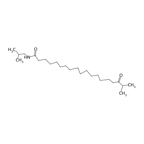 CC(C)CNC(=O)CCCCCCCCCCCCCCCC(=O)C(C)C